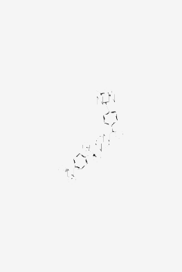 Cc1nc(-c2ccc(C(=O)N3CCN(S(=O)(=O)c4ccc([N+](=O)[O-])cc4)CC3)cc2)no1